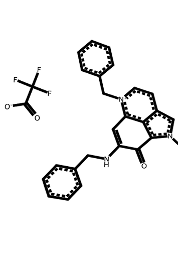 Cn1cc2cc[n+](Cc3ccccc3)c3c2c1C(=O)C(NCc1ccccc1)=C3.O=C([O-])C(F)(F)F